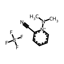 CN(C)[n+]1ccccc1C#N.F[B-](F)(F)F